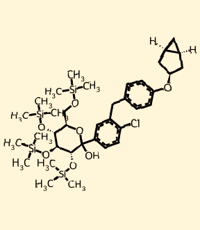 C[Si](C)(C)OC[C@H]1OC(O)(c2ccc(Cl)c(Cc3ccc(O[C@@H]4C[C@@H]5C[C@@H]5C4)cc3)c2)[C@H](O[Si](C)(C)C)[C@@H](O[Si](C)(C)C)[C@@H]1O[Si](C)(C)C